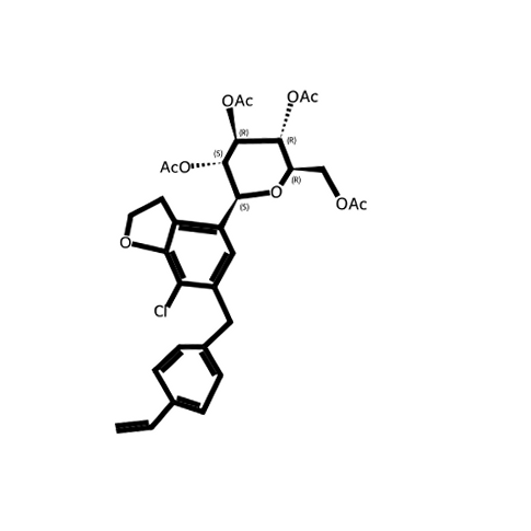 C=Cc1ccc(Cc2cc([C@@H]3O[C@H](COC(C)=O)[C@@H](OC(C)=O)[C@H](OC(C)=O)[C@H]3OC(C)=O)c3c(c2Cl)OCC3)cc1